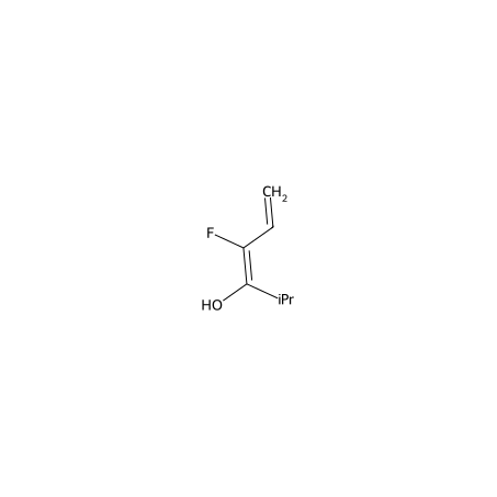 C=C/C(F)=C(/O)C(C)C